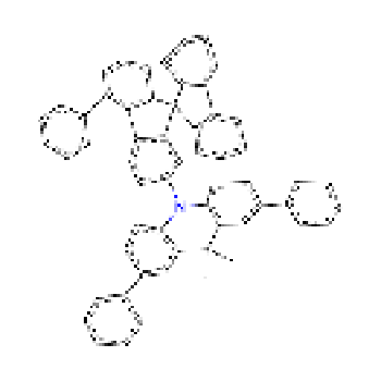 CC1(C)c2cc(-c3ccccc3)ccc2N(c2ccc3c(c2)C2(c4ccccc4-c4ccccc42)c2cccc(-c4ccccc4)c2-3)c2ccc(-c3ccccc3)cc21